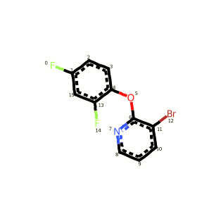 Fc1ccc(Oc2ncccc2Br)c(F)c1